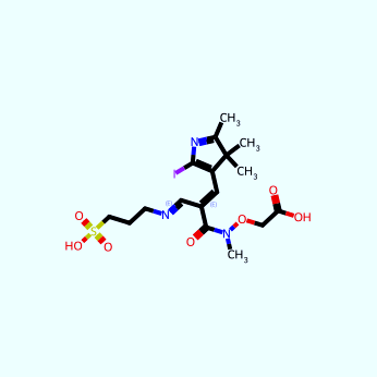 CC1=NC(I)=C(/C=C(\C=N\CCCS(=O)(=O)O)C(=O)N(C)OCC(=O)O)C1(C)C